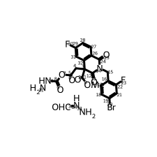 COC(=O)C1(CC(=O)OC(=O)NN)C(=O)N(Cc2ccc(Br)cc2F)C(=O)c2ccc(F)cc21.NNC=O